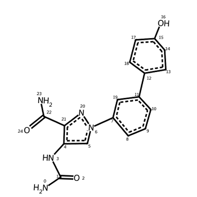 NC(=O)Nc1cn(-c2cccc(-c3ccc(O)cc3)c2)nc1C(N)=O